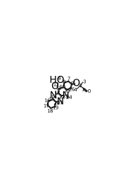 C#CC(C)(C)Oc1cc(O)c2c(=O)c3nc4ccccc4nc3n(C)c2c1